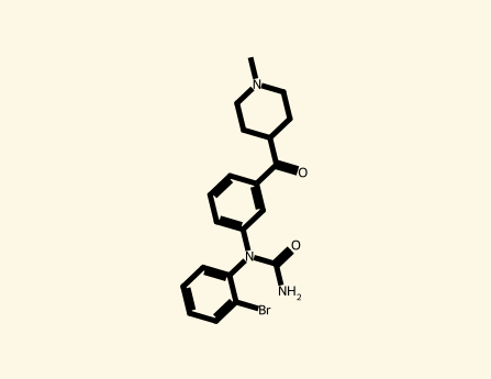 CN1CCC(C(=O)c2cccc(N(C(N)=O)c3ccccc3Br)c2)CC1